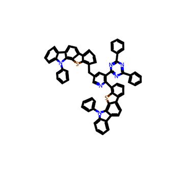 c1ccc(-c2nc(-c3ccccc3)nc(-c3cc(Cc4cccc5c4sc4c5ccc5c6ccccc6n(-c6ccccc6)c54)cnc3-c3cccc4c3sc3c4ccc4c5ccccc5n(-c5ccccc5)c43)n2)cc1